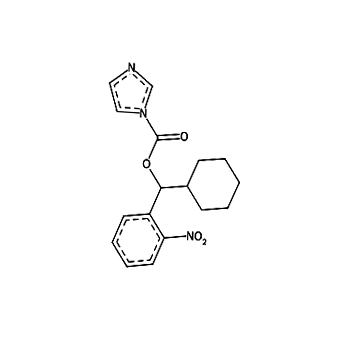 O=C(OC(c1ccccc1[N+](=O)[O-])C1CCCCC1)n1ccnc1